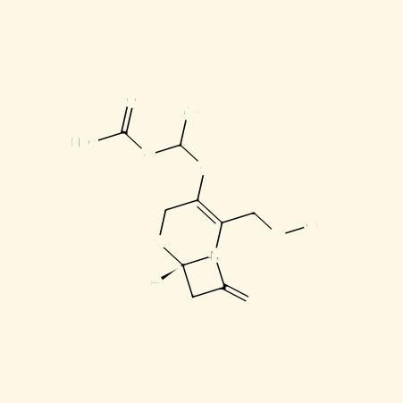 COCC1=C(OC(C)OC(C)=O)CS[C@H]2CC(=O)N12